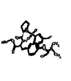 CN(C)C(=O)Oc1ccc(C[C@H](NC(=O)[C@@H]2CCCN2S(=O)(=O)c2cccc(F)c2)C(=O)OC(C)(C)C)cc1